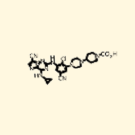 N#Cc1cc(Nc2nc(NC3CC3)c3ncc(C#N)n3n2)c(Cl)c(N2CCN(C3CCN(C(=O)O)CC3)CC2)c1